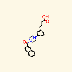 O=C(O)CCCc1cccc(N2CCN(C(=O)c3ccc4ccccc4c3)CC2)c1